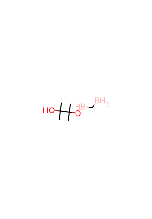 BCBOC(C)(C)C(C)(C)O